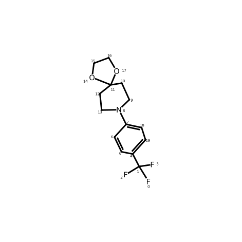 FC(F)(F)c1ccc(N2CCC3(CC2)OCCO3)cc1